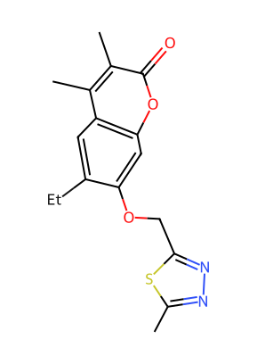 CCc1cc2c(C)c(C)c(=O)oc2cc1OCc1nnc(C)s1